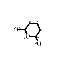 ClC1CCCC(Cl)O1